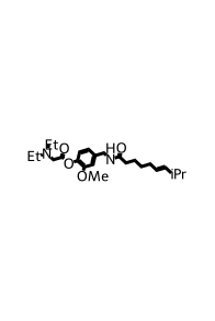 CCN(CC)CC(=O)Oc1ccc(CNC(=O)CCCC/C=C/C(C)C)cc1OC